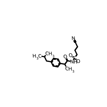 CC(C)Cc1ccc(C(C)C(=O)NS(=O)(=O)CCCC#N)cc1